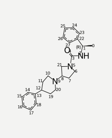 C[C@@H](NC(=O)N1CCC(N2CCC(c3ccccc3)CC2)C1)c1ccccc1